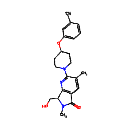 Cc1cc2c(nc1N1CCC(Oc3cccc(C#N)c3)CC1)C(CO)N(C)C2=O